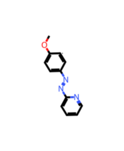 COc1[c]cc(N=Nc2ccccn2)cc1